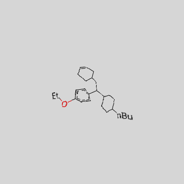 CCCCC1CCC(C(CC2CC=CCC2)c2ccc(OCC)cc2)CC1